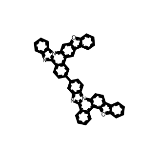 c1ccc2c(c1)nc1c3ccc(-c4ccc5c(c4)nc4c6ccccc6c6c7oc8ccccc8c7ccc6n54)cc3c3cc4c(cc3n21)oc1ccccc14